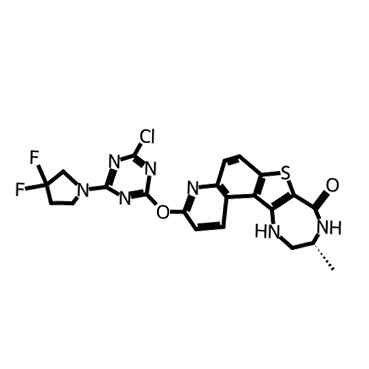 C[C@@H]1CNc2c(sc3ccc4nc(Oc5nc(Cl)nc(N6CCC(F)(F)C6)n5)ccc4c23)C(=O)N1